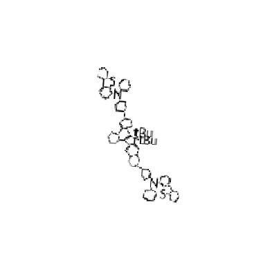 CC(C)(C)C1(C(C)(C)C)c2cc3cc(-c4ccc(N(c5ccccc5)c5cccc6c5sc5ccccc56)cc4)ccc3cc2-c2c1c1ccc(-c3ccc(N(c4ccccc4)c4cccc5c4sc4ccccc45)cc3)cc1c1ccccc21